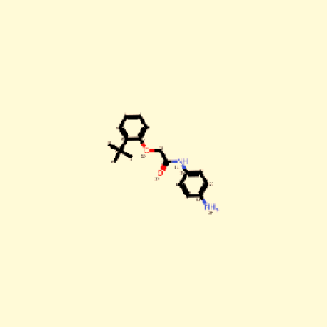 CC(C)(C)c1ccccc1OCC(=O)Nc1ccc(N)cc1